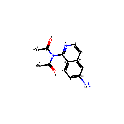 CC(C)(C)C(=O)N(C(=O)C(C)(C)C)c1nccc2cc(N)ccc12